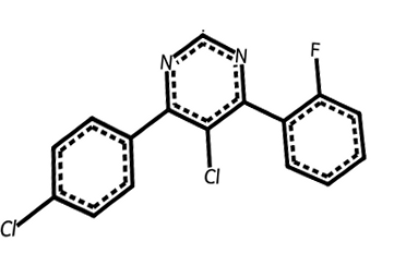 Fc1ccccc1-c1n[c]nc(-c2ccc(Cl)cc2)c1Cl